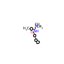 Cc1ccc(C(CCN(C)C)NC(=O)c2ccc(-c3ccc4ccccc4c3)cc2)cc1